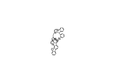 CN1C=CN2c3c(ccc4c3oc3ccccc34)/C(=C/C3N4C=CN3c3ccccc3C3c5ccccc5N5C=CN(CCC4)C35)C12